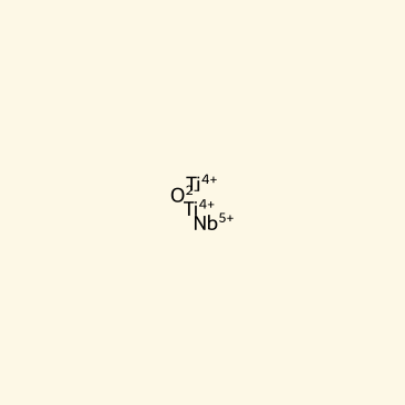 [Nb+5].[O-2].[Ti+4].[Ti+4]